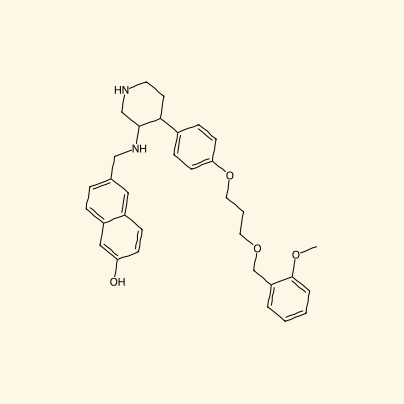 COc1ccccc1COCCCOc1ccc(C2CCNCC2NCc2ccc3cc(O)ccc3c2)cc1